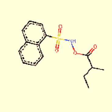 CCC(C)C(=O)ONS(=O)(=O)c1cccc2ccccc12